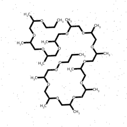 CCCOOCC(C)OCC(C)OCC(C)OCC(C)OCC(C)OCC(C)OCC(C)OCC(C)OCC(C)OCC(C)OCC(C)OCC(C)OCCC